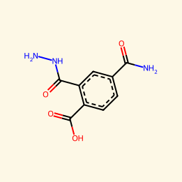 NNC(=O)c1cc(C(N)=O)ccc1C(=O)O